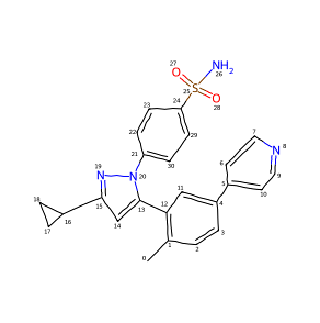 Cc1ccc(-c2ccncc2)cc1-c1cc(C2CC2)nn1-c1ccc(S(N)(=O)=O)cc1